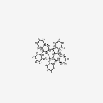 CC1(C)c2ccccc2-c2c1c1c(c3ccccc3n1-c1nc(-c3ccccc3)c3ccccc3n1)c1nccnc21